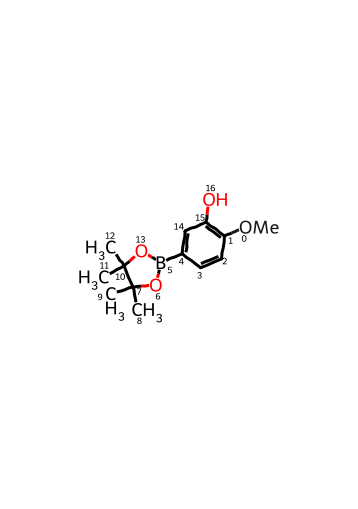 COc1ccc(B2OC(C)(C)C(C)(C)O2)cc1O